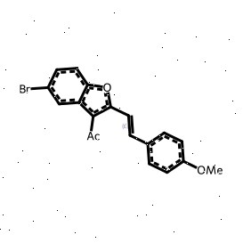 COc1ccc(/C=C/c2oc3ccc(Br)cc3c2C(C)=O)cc1